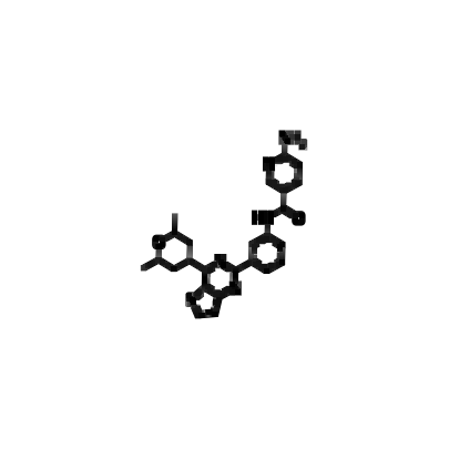 CC1CC(c2nc(-c3cccc(NC(=O)c4ccc(N)nc4)c3)nc3ccsc23)CC(C)O1